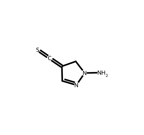 NN1CC(=C=S)C=N1